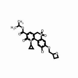 CC(C)OC(=O)c1cc2c(n(C3CC3)c1=O)-c1cc(Cl)c(OCC3CCO3)cc1S(=O)(=O)C2